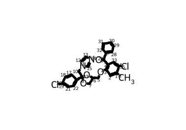 Cc1cc(OCC2COC(Cn3ccnc3)(c3ccc(Cl)cc3)O2)c(C(=O)c2ccccc2)cc1Cl